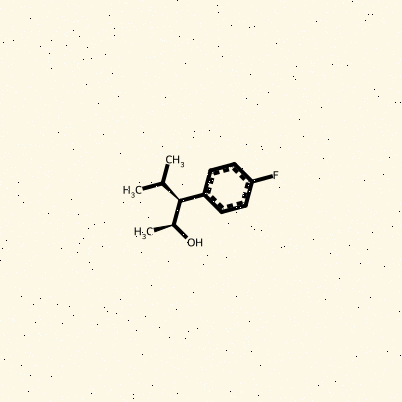 CC(C)[C@@H](c1ccc(F)cc1)[C@H](C)O